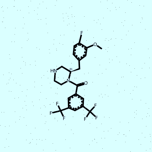 COc1cc(C[C@@H]2CNCCN2C(=O)c2cc(C(F)(F)F)cc(C(F)(F)F)c2)ccc1F